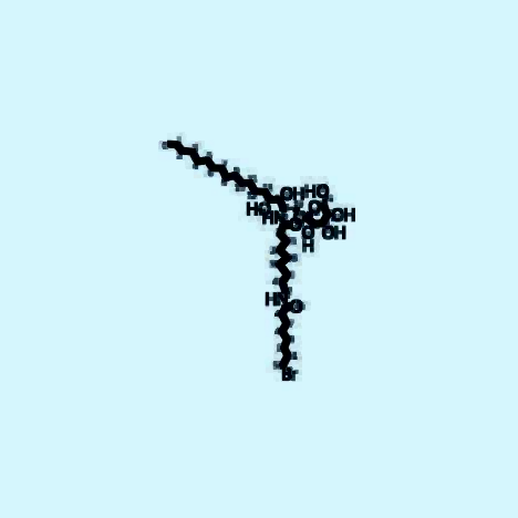 CCCCCCCCCCCCCC[C@@H](O)[C@@H](O)[C@H](CO[C@H]1O[C@H](CO)[C@H](O)[C@H](O)[C@H]1O)NC(=O)CCCCCCCCNC(=O)CCCCCCCBr